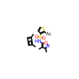 CC(=O)c1sccc1S(=O)(=O)Nc1onc(C)c1C.Cc1cc2cc(C)c1-2